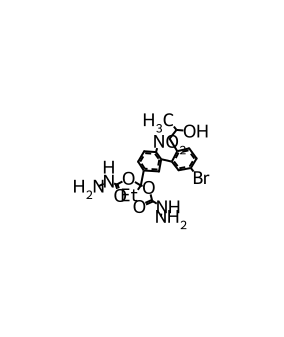 CCC(OC(=O)NN)(OC(=O)NN)c1ccc([N+](=O)[O-])c(-c2cc(Br)ccc2CC(C)O)c1